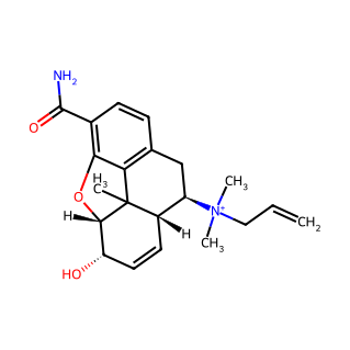 C=CC[N+](C)(C)[C@@H]1Cc2ccc(C(N)=O)c3c2C2(C)[C@H]1C=C[C@H](O)[C@@H]2O3